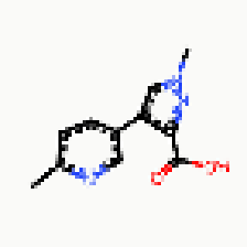 Cc1ccc(-c2cn(C)nc2C(=O)O)cn1